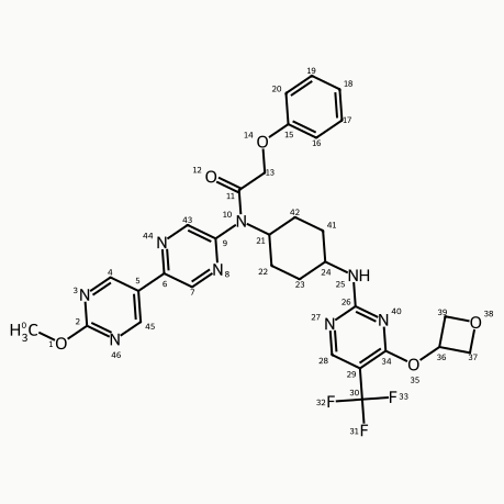 COc1ncc(-c2cnc(N(C(=O)COc3ccccc3)C3CCC(Nc4ncc(C(F)(F)F)c(OC5COC5)n4)CC3)cn2)cn1